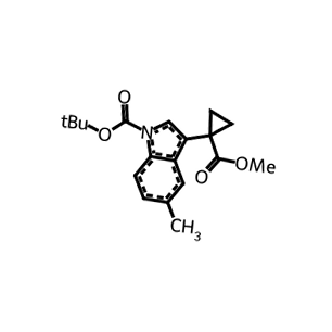 COC(=O)C1(c2cn(C(=O)OC(C)(C)C)c3ccc(C)cc23)CC1